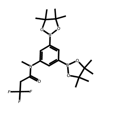 CN(C(=O)CC(F)(F)F)c1cc(B2OC(C)(C)C(C)(C)O2)cc(B2OC(C)(C)C(C)(C)O2)c1